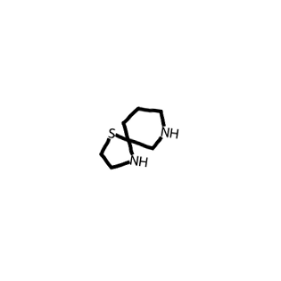 C1CNCC2(C1)NCCS2